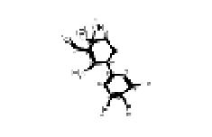 CC1=C(C=O)C(C)(C)CCC1c1cc(F)c(F)c(F)c1